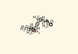 Cc1nc(NC(=O)c2ncc(-c3c(C)cccc3Cl)s2)cc(N2CCN(CC[C@](CC(C)C)(NC(=O)OC(C)(C)C)C(=O)O)CC2)n1